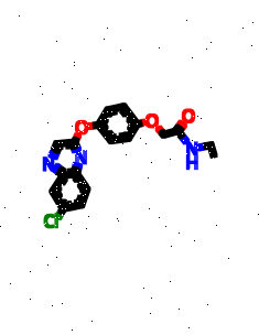 CCNC(=O)COc1ccc(Oc2cnc3cc(Cl)ccc3n2)cc1